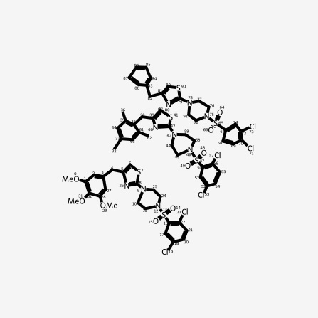 COc1cc(Cc2csc(N3CCN(S(=O)(=O)c4cc(Cl)ccc4Cl)CC3)n2)cc(OC)c1OC.Cc1cc(C)c(Cc2csc(N3CCN(S(=O)(=O)c4cc(Cl)ccc4Cl)CC3)n2)c(C)c1.O=S(=O)(c1ccc(Cl)c(Cl)c1)N1CCN(c2nc(Cc3ccccc3)cs2)CC1